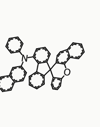 c1ccc(N(c2ccc3ccccc3c2)c2cccc3c2-c2ccccc2C32c3ccccc3Oc3c2ccc2ccccc32)cc1